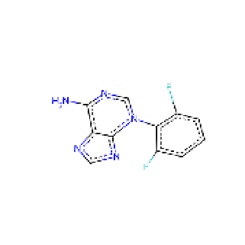 Nc1ncn(-c2c(F)cccc2F)c2ncnc1-2